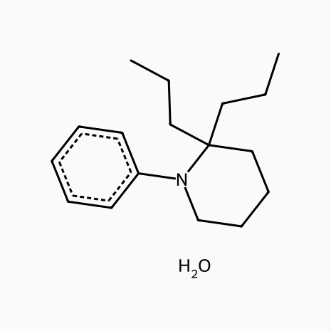 CCCC1(CCC)CCCCN1c1ccccc1.O